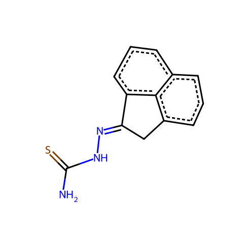 NC(=S)N/N=C1\Cc2cccc3cccc1c23